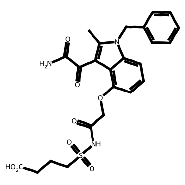 Cc1c(C(=O)C(N)=O)c2c(OCC(=O)NS(=O)(=O)CCCC(=O)O)cccc2n1Cc1ccccc1